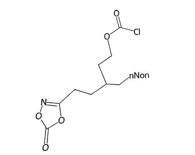 CCCCCCCCCCC(CCOC(=O)Cl)CCc1noc(=O)o1